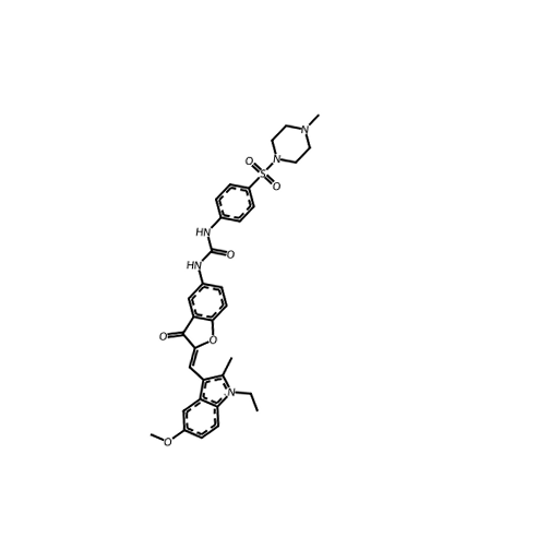 CCn1c(C)c(C=C2Oc3ccc(NC(=O)Nc4ccc(S(=O)(=O)N5CCN(C)CC5)cc4)cc3C2=O)c2cc(OC)ccc21